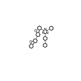 c1ccc(-c2ccc(-c3nc(-c4ccccc4)nc(-c4cccc5oc6cc(-c7ccc8c(c7)oc7ccccc78)ccc6c45)n3)cc2)cc1